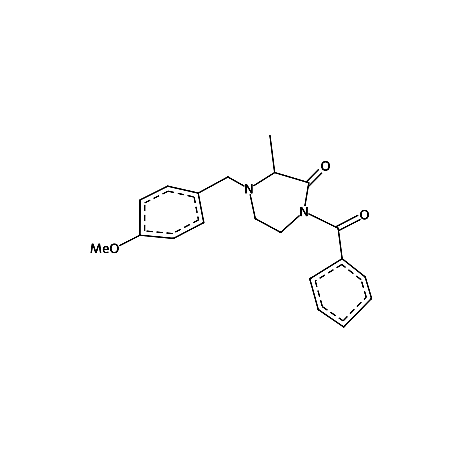 COc1ccc(CN2CCN(C(=O)c3ccccc3)C(=O)C2C)cc1